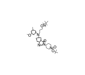 COc1cc(C)cc(N(CCCO[Si](C)(C)C(C)(C)C)c2ccc3ncn(C4CCN(C(=O)OC(C)(C)C)CC4)c(=O)c3c2)c1